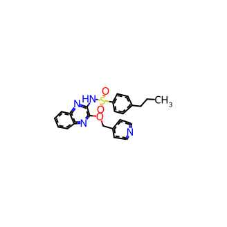 CCCc1ccc(S(=O)(=O)Nc2nc3ccccc3nc2OCc2ccncc2)cc1